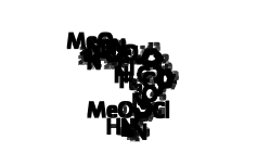 COc1nc(OCc2cccc(-c3cccc(COc4nc(OC)c(C5=NCCN5)cc4Cl)c3C)c2C)c(Cl)cc1C1=NCCN1